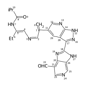 C=C(/C=N\C=C(/CC)NC(=O)C(C)C)c1cnc2[nH]nc(-c3nc4c(C=O)cncc4[nH]3)c2c1